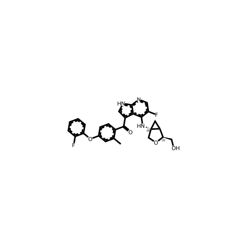 Cc1cc(Oc2ccccc2F)ccc1C(=O)c1c[nH]c2ncc(F)c(N[C@@]34CO[C@H](CO)C3C4)c12